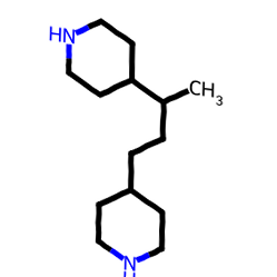 CC(CCC1CCNCC1)C1CCNCC1